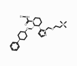 CCNC(=O)N1CCC[C@H](c2ccnn2COCC[Si](C)(C)C)[C@@H]1CO[C@H]1CC[C@@H](c2ccccc2)CC1